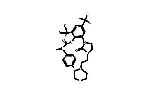 CN(C(=O)Oc1c(N2CCN(CCN3CCOCC3)C2=O)cc(C(F)(F)F)cc1C(F)(F)F)c1ccc(F)cc1